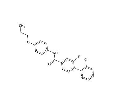 CCCOc1ccc(NC(=O)c2ccc(-c3ncccc3Cl)c(F)c2)cc1